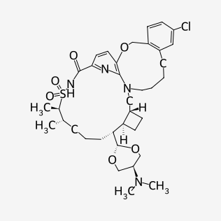 C[C@@H]1[C@@H](C)CCC[C@@H]([C@H]2OC[C@H](N(C)C)CO2)[C@@H]2CC[C@H]2CN2CCCCc3cc(Cl)ccc3COc3ccc(nc32)C(=O)NS1(=O)=O